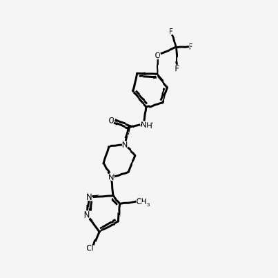 Cc1cc(Cl)nnc1N1CCN(C(=O)Nc2ccc(OC(F)(F)F)cc2)CC1